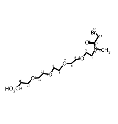 CN(CCOCCOCCOCCOCCC(=O)O)C(=O)CBr